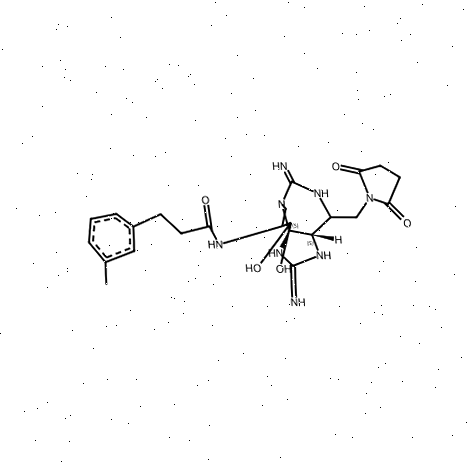 Cc1cccc(CCC(=O)NC2CN3C(=N)NC(CN4C(=O)CCC4=O)[C@@H]4NC(=N)N[C@@]43C2(O)O)c1